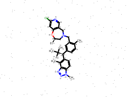 CC[C@@H]1CN(Cc2cc([C@@H](c3ccc4c(nnn4C)c3C)C(C)(C)C(C)=O)ccc2C)Cc2cnc(Cl)cc2O1